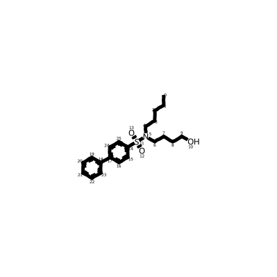 CCCCCN(CCCCO)S(=O)(=O)c1ccc(-c2ccccc2)cc1